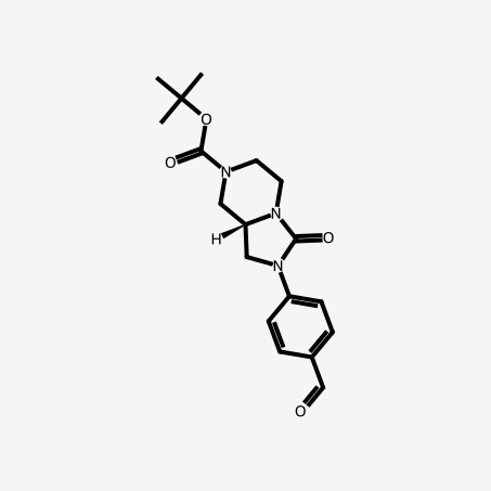 CC(C)(C)OC(=O)N1CCN2C(=O)N(c3ccc(C=O)cc3)C[C@@H]2C1